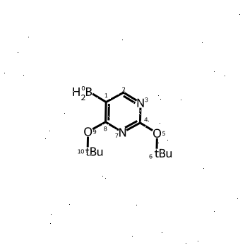 Bc1cnc(OC(C)(C)C)nc1OC(C)(C)C